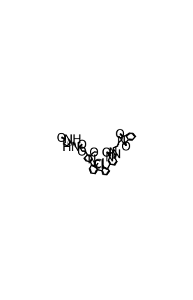 COc1nc(-c2cccc(-c3cccc(-c4ccc5nn(CCCN6C(=O)c7ccccc7C6=O)c(=O)n5c4)c3Cl)c2Cl)ccc1COC(=O)NC[C@@H]1CCC(=O)N1